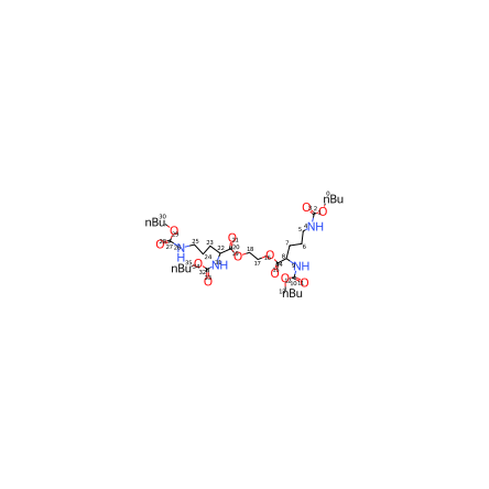 CCCCOC(=O)NCCCC(NC(=O)OCCCC)C(=O)OCCOC(=O)C(CCCNC(=O)OCCCC)NC(=O)OCCCC